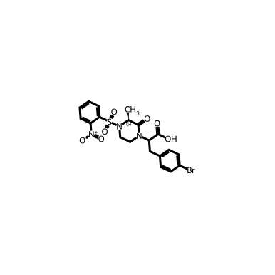 C[C@H]1C(=O)N(C(Cc2ccc(Br)cc2)C(=O)O)CCN1S(=O)(=O)c1ccccc1[N+](=O)[O-]